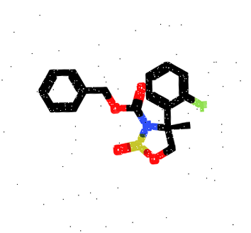 C[C@@]1(c2ccccc2F)COS(=O)N1C(=O)OCc1ccccc1